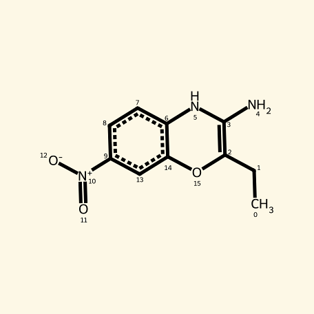 CCC1=C(N)Nc2ccc([N+](=O)[O-])cc2O1